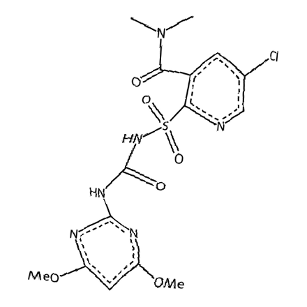 COc1cc(OC)nc(NC(=O)NS(=O)(=O)c2ncc(Cl)cc2C(=O)N(C)C)n1